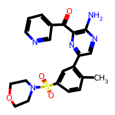 Cc1ccc(S(=O)(=O)N2CCOCC2)cc1-c1cnc(N)c(C(=O)c2cccnc2)n1